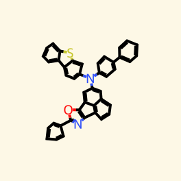 c1ccc(-c2ccc(N(c3cc4c5c(cccc5c3)-c3nc(-c5ccccc5)oc3-4)c3ccc4c(c3)sc3ccccc34)cc2)cc1